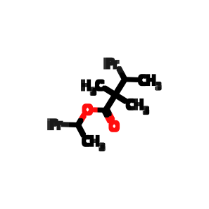 CC(C)C(C)OC(=O)C(C)(C)C(C)C(C)C